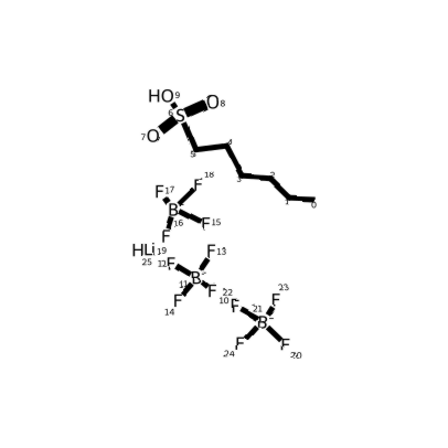 CCCCCCS(=O)(=O)O.F[B-](F)(F)F.F[B-](F)(F)F.F[B-](F)(F)F.[LiH]